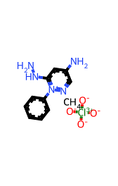 C.NNc1cc(N)cn[n+]1-c1ccccc1.[O-][Cl+3]([O-])([O-])[O-]